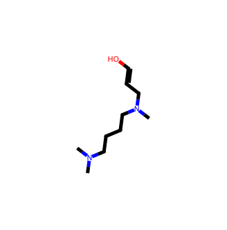 CN(C)CCCCN(C)C/C=C/O